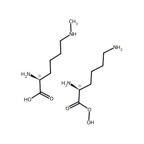 CNCCCC[C@H](N)C(=O)O.NCCCC[C@H](N)C(=O)OO